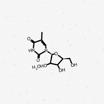 Cc1cn([C@H]2O[C@@H](CO)C(O)C2O)c(=O)[nH]c1=O.O